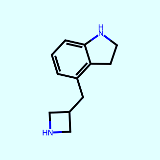 c1cc(CC2CNC2)c2c(c1)NCC2